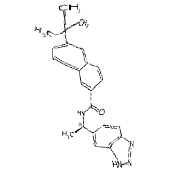 C[C@@H](NC(=O)c1ccc2cc(C(C)(C)C)ccc2c1)c1ccc2nn[nH]c2c1